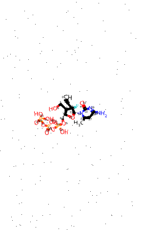 C#CC1(F)C(CO)[C@@H](COP(=O)(O)OP(=O)(O)OP(=O)(O)O)O[C@H]1n1c(C)cc(N)nc1=O